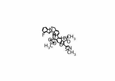 CCS(=O)(=O)Nc1cc2oc(-c3cnc(C)s3)c(C(=O)NC)c2cc1-c1ccc2c(n1)-c1cc3c(F)cccc3n1CC2